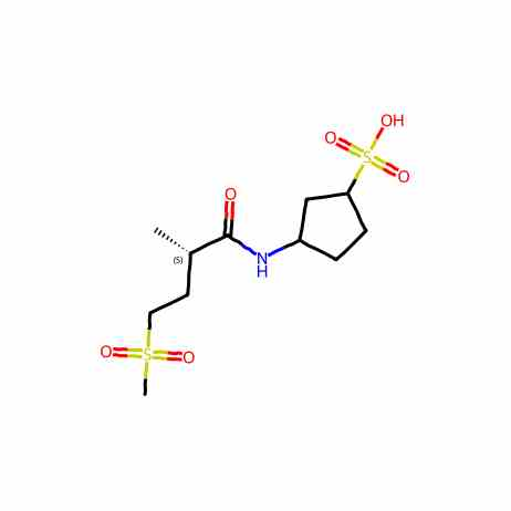 C[C@@H](CCS(C)(=O)=O)C(=O)NC1CCC(S(=O)(=O)O)C1